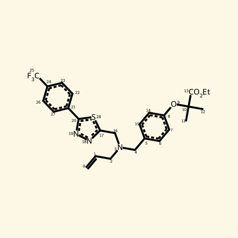 C=CCN(Cc1ccc(OC(C)(C)C(=O)OCC)cc1)Cc1nnc(-c2ccc(C(F)(F)F)cc2)s1